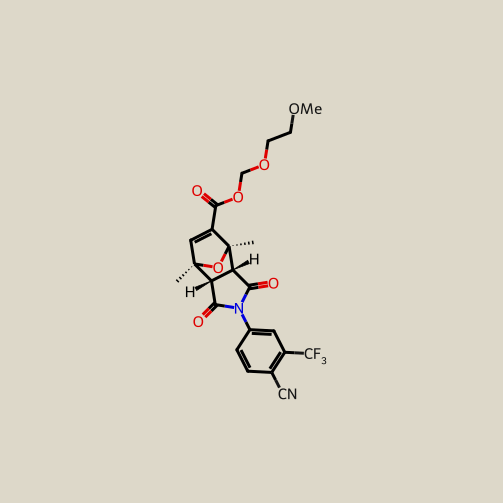 COCCOCOC(=O)C1=C[C@@]2(C)O[C@]1(C)[C@@H]1C(=O)N(c3ccc(C#N)c(C(F)(F)F)c3)C(=O)[C@@H]12